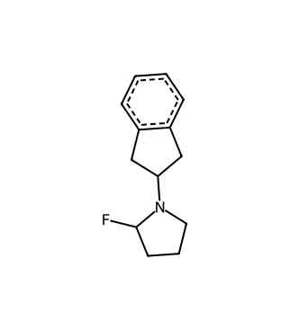 FC1CCCN1C1Cc2ccccc2C1